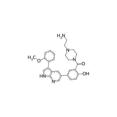 COc1ccccc1-c1c[nH]c2ncc(-c3ccc(O)c(C(=O)N4CCN(CCN)CC4)c3)cc12